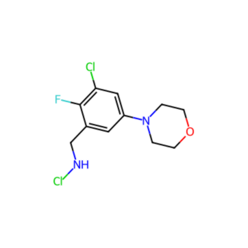 Fc1c(Cl)cc(N2CCOCC2)cc1CNCl